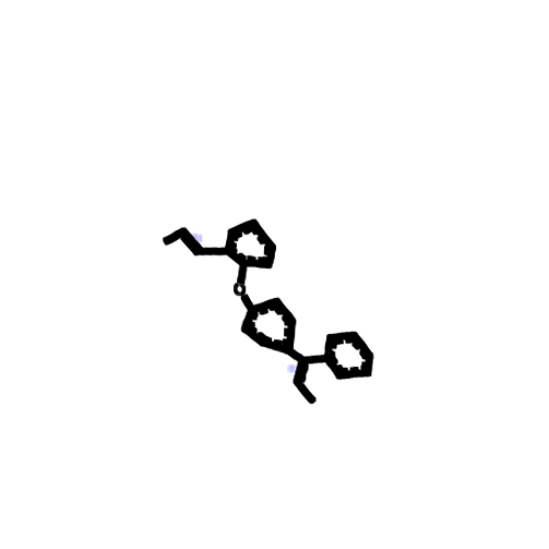 C/C=C/c1ccccc1Oc1ccc(/C(=C/C)c2ccccc2)cc1